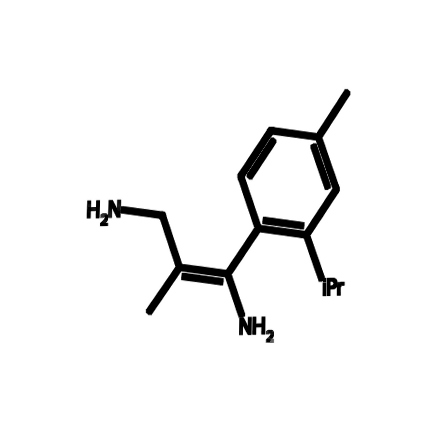 C/C(CN)=C(\N)c1ccc(C)cc1C(C)C